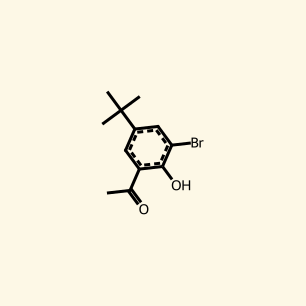 CC(=O)c1cc(C(C)(C)C)cc(Br)c1O